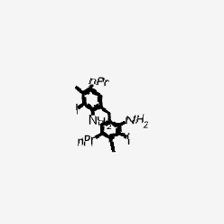 CCCc1cc(Cc2cc(CCC)c(C)c(I)c2N)c(N)c(I)c1C